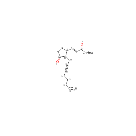 CCCCCCC(=O)C=CC1CCC(=O)C1CC#CCCCC(=O)O